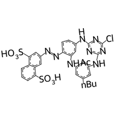 CCCCc1cccc(Nc2nc(Cl)nc(Nc3ccc(N=Nc4cc(S(=O)(=O)O)c5cccc(S(=O)(=O)O)c5c4)c(NC(C)=O)c3)n2)c1